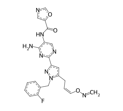 C=NO/C=C\Cc1cc(-c2ncc(NC(=O)c3cnco3)c(N)n2)nn1Cc1ccccc1F